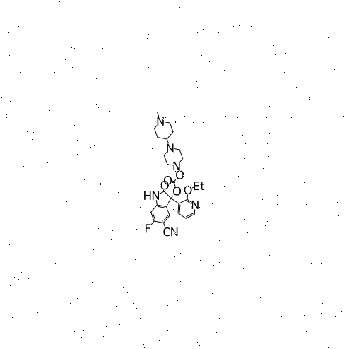 CCOc1ncccc1C1(OC(=O)ON2CCN(C3CCN(C)CC3)CC2)C(=O)Nc2cc(F)c(C#N)cc21